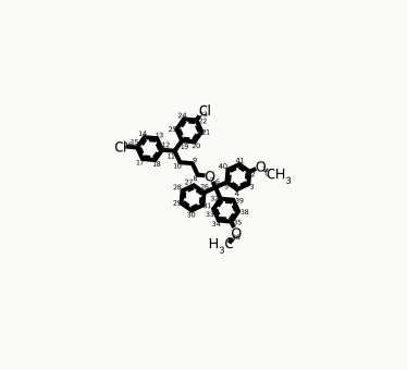 COc1ccc(C(OCCCC(c2ccc(Cl)cc2)c2ccc(Cl)cc2)(c2ccccc2)c2ccc(OC)cc2)cc1